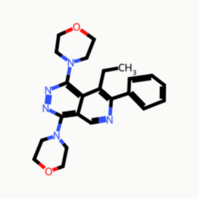 CCc1c(-c2ccccc2)ncc2c(N3CCOCC3)nnc(N3CCOCC3)c12